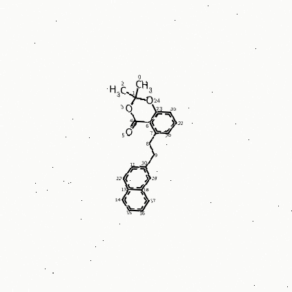 CC1(C)OC(=O)c2c(CCc3ccc4ccccc4c3)cccc2O1